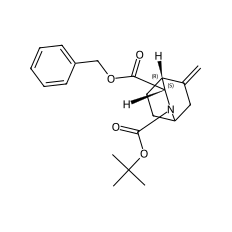 C=C1CC2CC[C@H]1[C@@H](C(=O)OCc1ccccc1)N2C(=O)OC(C)(C)C